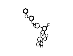 O=C1CCC(N2Cc3c(cc(F)cc3C3CCN(Cc4cccc(Oc5ccccc5)c4)CC3)C2=O)C(=O)N1